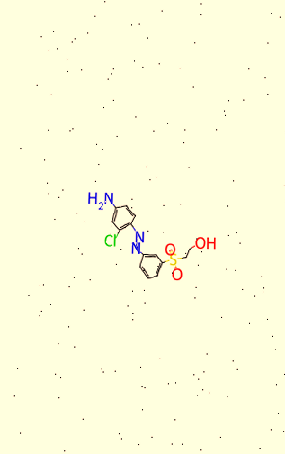 Nc1ccc(N=Nc2cccc(S(=O)(=O)CCO)c2)c(Cl)c1